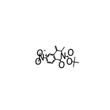 C=C1c2cc([N+](=O)[O-])ccc2C(=O)N(C(=O)OC(C)(C)C)C1C